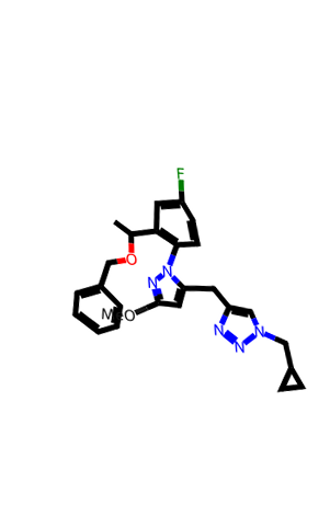 COc1cc(Cc2cn(CC3CC3)nn2)n(-c2ccc(F)cc2C(C)OCc2ccccc2)n1